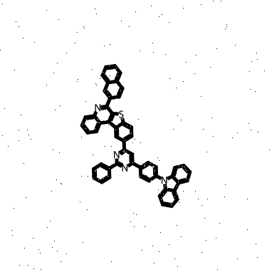 c1ccc(-c2nc(-c3ccc(-n4c5ccccc5c5ccccc54)cc3)cc(-c3ccc4sc5c(-c6ccc7ccccc7c6)nc6ccccc6c5c4c3)n2)cc1